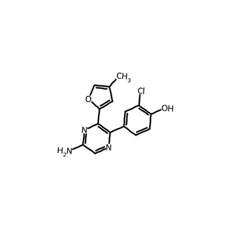 Cc1coc(-c2nc(N)cnc2-c2ccc(O)c(Cl)c2)c1